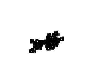 COc1cc(C(=O)OC(C)OC(=O)N(O)CCCO)ccc1NC(=O)[C@@H]1N[C@@H](CC(C)(C)C)[C@](C#N)(c2ccc(Cl)cc2F)[C@H]1c1cccc(Cl)c1F